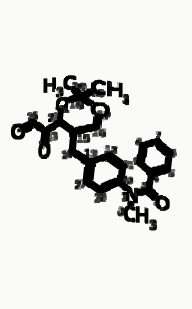 CN(C(=O)c1ccccc1)c1ccc(CC2COC(C)(C)OC2C(=O)C=O)cc1